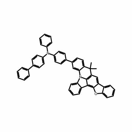 CC1(C)c2ccc(-c3ccc(N(c4ccccc4)c4ccc(-c5ccccc5)cc4)cc3)cc2-n2c3ccccc3c3c4oc5ccccc5c4cc1c32